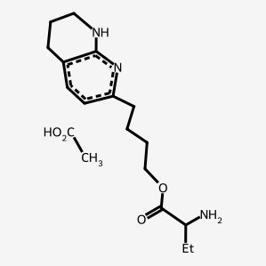 CC(=O)O.CCC(N)C(=O)OCCCCc1ccc2c(n1)NCCC2